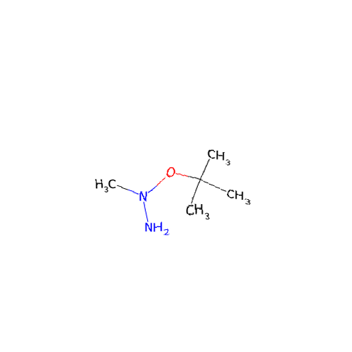 CN(N)OC(C)(C)C